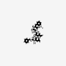 CCC(C)C(NC(=O)C(CC(C)C)NC(=O)OCc1ccccc1)C(=O)C(=O)NCC(=O)N(C)C(Cc1ccccc1)C(N)=O